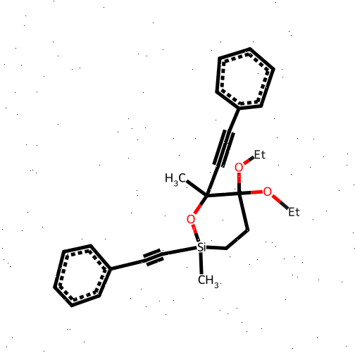 CCOC1(OCC)CC[Si](C)(C#Cc2ccccc2)OC1(C)C#Cc1ccccc1